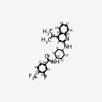 CN(C)c1cc(N[C@H]2CC[C@@H](NC(=O)c3ccc(C(F)(F)F)c(F)c3)CC2)nc2ccccc12